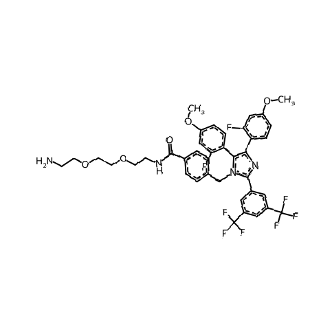 COc1ccc(-c2nc(-c3cc(C(F)(F)F)cc(C(F)(F)F)c3)n(Cc3ccc(C(=O)NCCOCCOCCN)cc3)c2-c2ccc(OC)cc2F)c(F)c1